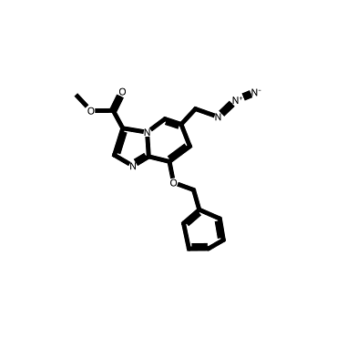 COC(=O)c1cnc2c(OCc3ccccc3)cc(CN=[N+]=[N-])cn12